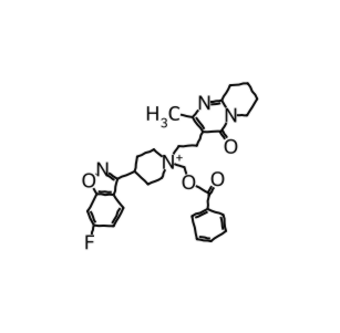 Cc1nc2n(c(=O)c1CC[N+]1(COC(=O)c3ccccc3)CCC(c3noc4cc(F)ccc34)CC1)CCCC2